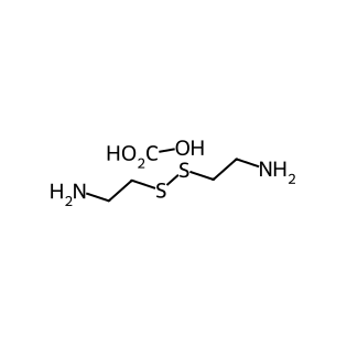 NCCSSCCN.O=C(O)O